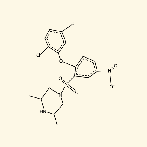 CC1CN(S(=O)(=O)c2cc([N+](=O)[O-])ccc2Oc2cc(Cl)ccc2Cl)CC(C)N1